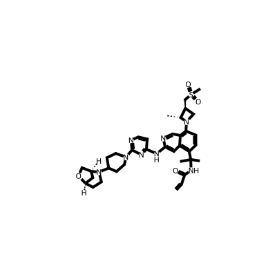 C=CC(=O)NC(C)(C)c1ccc(N2C[C@H](CS(C)(=O)=O)[C@H]2C)c2cnc(Nc3ccnc(N4CCC(N5CC[C@@H]6C[C@H]5CO6)CC4)n3)cc12